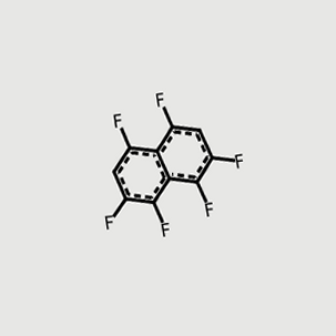 Fc1cc(F)c2c(F)cc(F)c(F)c2c1F